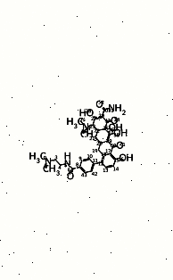 CN(C)CCNC(=O)c1ccc(-c2ccc(O)c3c2CC2CC4C(N(C)C)C(O)=C(C(N)=O)C(=O)C4(O)C(O)=C2C3=O)cc1